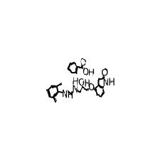 Cc1cccc(C)c1NCCNCC(O)COc1cccc2c1CC(=O)N2.O=C(O)c1ccccc1